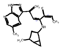 C=C(/C=C(NC1CC(C)C2CC12)\C(F)=C/C)c1n[nH]c2ncc(C)cc12